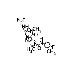 Cc1cc(NC(=O)N2Cc3c(nn4c3C(=O)N(C)O[C@@H](CNCC(F)F)C4)C[C@H]2C)ccc1F